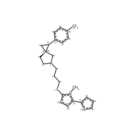 Cn1c(SCCCN2CC[C@]3(CC3c3ccc(C(F)(F)F)cc3)C2)nnc1-c1cccs1